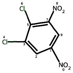 O=[N+]([O-])c1cc(Cl)c(Cl)c([N+](=O)[O-])c1